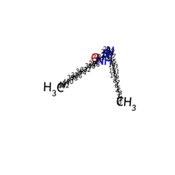 CCCCCCCCCCCCCCCCCCC1=NCCN1CCNC(=O)CCCCCCCCCCCCCCCCC